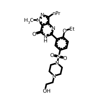 CCCc1nn(C)c2c(=O)[nH]c(-c3cc(S(=O)(=O)N4CCN(CCO)CC4)ccc3OCC)nc12